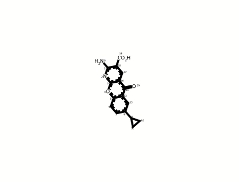 Nc1nc2oc3ccc(C4CC4)cc3c(=O)c2cc1C(=O)O